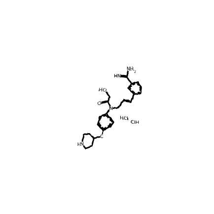 Cl.Cl.N=C(N)c1cccc(/C=C/CN(C(=O)CO)c2ccc(OC3CCNCC3)cc2)c1